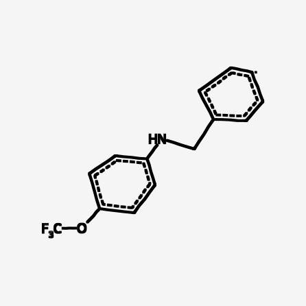 FC(F)(F)Oc1ccc(NCc2cc[c]cc2)cc1